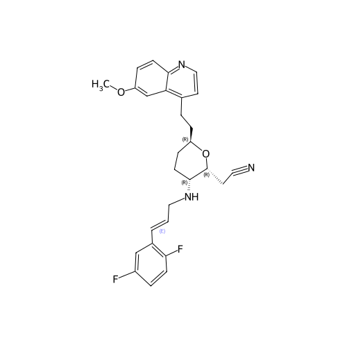 COc1ccc2nccc(CC[C@@H]3CC[C@@H](NC/C=C/c4cc(F)ccc4F)[C@@H](CC#N)O3)c2c1